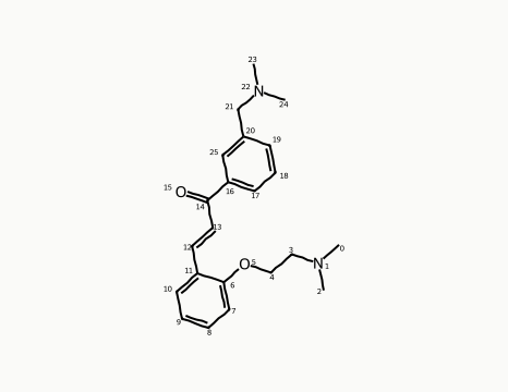 CN(C)CCOc1ccccc1C=CC(=O)c1cccc(CN(C)C)c1